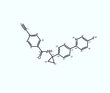 C#Cc1ccc(C(=O)NC2(c3ccc(-c4ccc(F)cn4)cc3)CC2)cc1